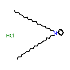 CCCCCCCCCCCCCCCCCCCN(CCCCCCCCCCCCCCCCCCC)c1ccccc1.Cl